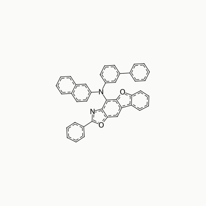 c1ccc(-c2cccc(N(c3ccc4ccccc4c3)c3c4nc(-c5ccccc5)oc4cc4c3oc3ccccc34)c2)cc1